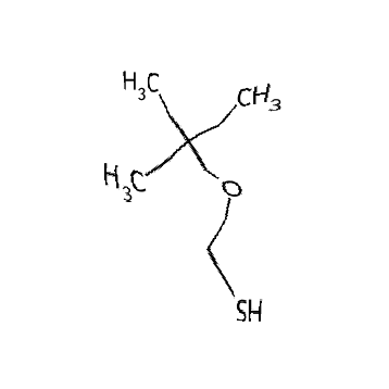 CC(C)(C)OCS